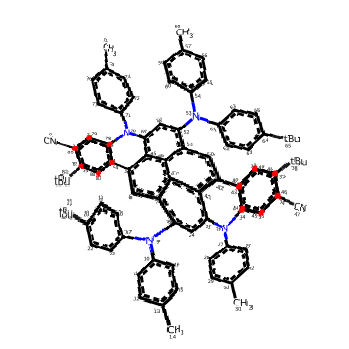 [C-]#[N+]c1ccc(-c2cc3c(N(c4ccc(C)cc4)c4ccc(C(C)(C)C)cc4)cc(N(c4ccc(C)cc4)c4ccc(C(C)(C)C)cc4)c4c(-c5ccc(C#N)cc5)cc5c(N(c6ccc(C)cc6)c6ccc(C(C)(C)C)cc6)cc(N(c6ccc(C)cc6)c6ccc(C(C)(C)C)cc6)c2c5c34)cc1